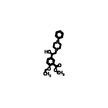 CCOc1ccc(C(O)CN2CCN(c3ccccc3)CC2)cc1C(=O)OC